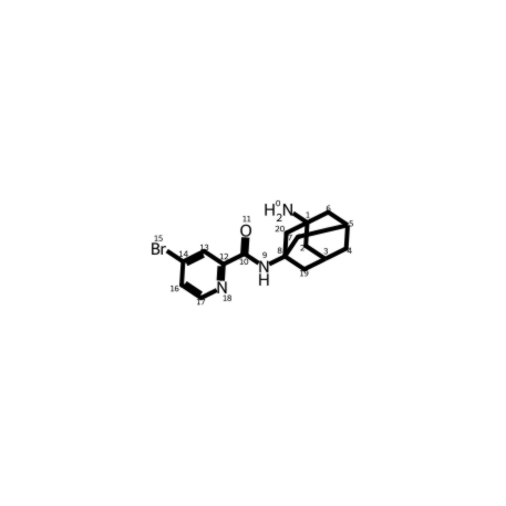 NC12CC3CC(C1)CC(NC(=O)c1cc(Br)ccn1)(C3)C2